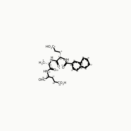 C[C@H](NC(=O)[C@H](CCC(=O)O)NC(=O)c1ccc2ccccc2c1)C(=O)NC(C=O)CCC(=O)O